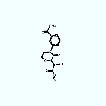 COC(=O)c1cccc(N2CCO[C@H]([C@@H](O)C(=O)OC(C)(C)C)C2=O)c1